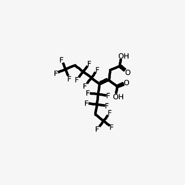 O=C(O)CC(C(=O)O)=C(C(F)(F)C(F)(F)CC(F)(F)F)C(F)(F)C(F)(F)CC(F)(F)F